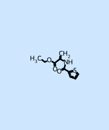 C=C(NC(=O)c1cccs1)C(=O)OCC